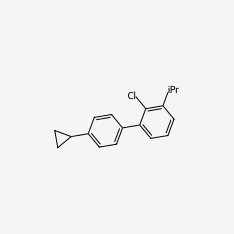 CC(C)c1cccc(-c2ccc(C3CC3)cc2)c1Cl